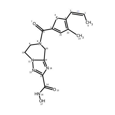 C/C=C\c1sc(C(=O)N2CCn3nc(C(=O)NO)nc3C2)cc1C